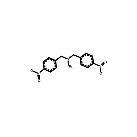 NN(Cc1ccc([N+](=O)[O-])cc1)Cc1ccc([N+](=O)[O-])cc1